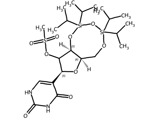 CC(C)[Si]1(C(C)C)OC[C@H]2O[C@@H](c3c[nH]c(=O)[nH]c3=O)C(OS(C)(=O)=O)[C@H]2O[Si](C(C)C)(C(C)C)O1